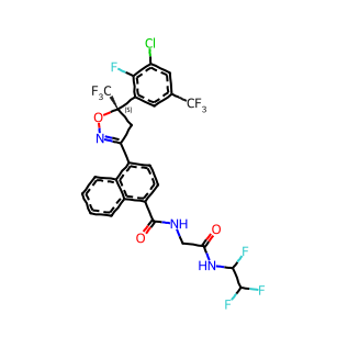 O=C(CNC(=O)c1ccc(C2=NO[C@@](c3cc(C(F)(F)F)cc(Cl)c3F)(C(F)(F)F)C2)c2ccccc12)NC(F)C(F)F